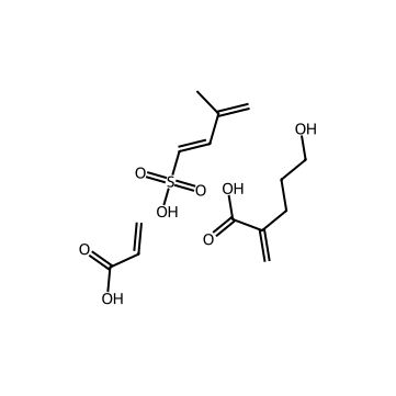 C=C(C)C=CS(=O)(=O)O.C=C(CCCO)C(=O)O.C=CC(=O)O